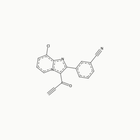 C#CC(=O)c1c(-c2cccc(C#N)c2)nc2c(Cl)cccn12